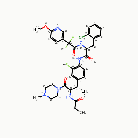 CCC(=O)N[C@@H](C(=O)N1CCN(C)CC1)[C@@H](C)c1ccc(NC(=O)[C@H](Cc2ccccc2Cl)NC(=O)C(F)(F)c2ccc(OC)nc2)c(F)c1